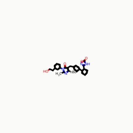 CCCCc1nc(C)n(-c2cccc(CCO)c2)c(=O)c1Cc1ccc(-c2ccccc2-c2noc(=O)[nH]2)cc1